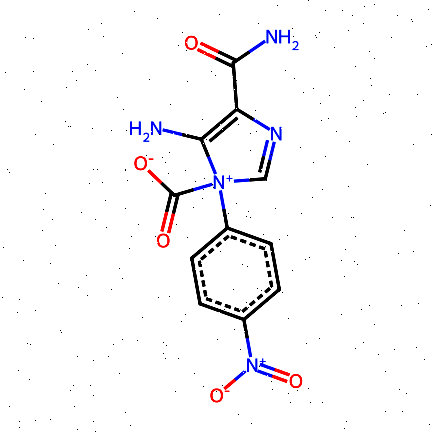 NC(=O)C1=C(N)[N+](C(=O)[O-])(c2ccc([N+](=O)[O-])cc2)C=N1